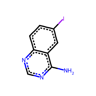 Nc1ncnc2ccc(I)cc12